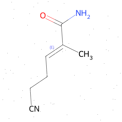 C/C(=C\CCC#N)C(N)=O